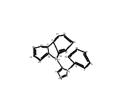 c1ccc(-n2cncc2-n2c3ccccc3c3ccccc32)cc1